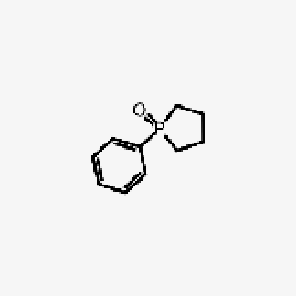 O=P1(c2ccccc2)CCCC1